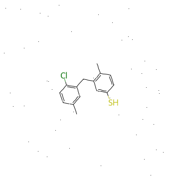 Cc1ccc(Cl)c(Cc2cc(S)ccc2C)c1